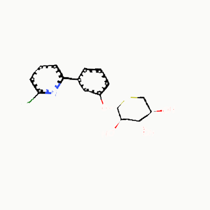 O[C@@H]1[C@@H](O)[C@H](Oc2cccc(-c3cccc(Cl)n3)c2)SC[C@H]1O